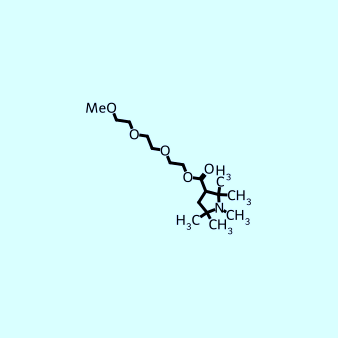 COCCOCCOCCOC(=O)C1CC(C)(C)N(C)C1(C)C